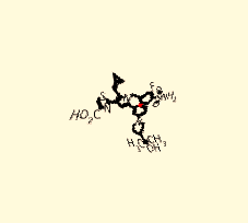 CC(C)(O)C1CCN(c2cccc(-c3cc(-c4nc(C(=O)O)cs4)c(CC4CC4)n3Cc3ccc(S(N)(=O)=O)c(F)c3)c2)CC1